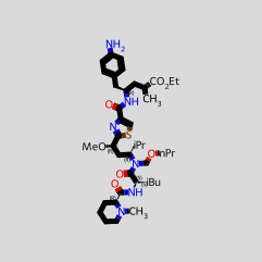 CCCOCN(C(=O)[C@@H](NC(=O)[C@H]1CCCCN1C)[C@@H](C)CC)[C@H](C[C@@H](OC)c1nc(C(=O)N[C@@H](Cc2ccc(N)cc2)CC(C)C(=O)OCC)cs1)C(C)C